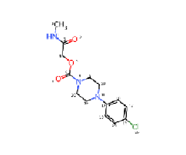 CNC(=O)COC(=O)N1CCN(c2ccc(Cl)cc2)CC1